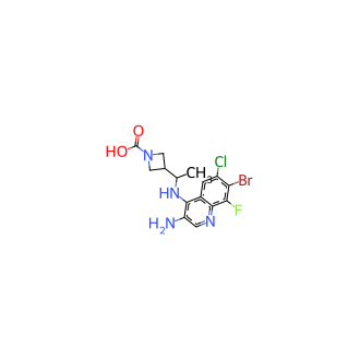 CC(Nc1c(N)cnc2c(F)c(Br)c(Cl)cc12)C1CN(C(=O)O)C1